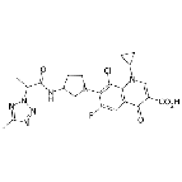 Cc1nnn(C(C)C(=O)NC2CCN(c3c(F)cc4c(=O)c(C(=O)O)cn(C5CC5)c4c3Cl)C2)n1